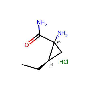 CC[C@@H]1C[C@]1(N)C(N)=O.Cl